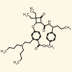 CCCCN(CCCC)CCc1cc(OC2N(C(=O)NC(CCC)c3ccc(C)cc3)C(=O)C2(CC)CC)ccc1C(=O)O